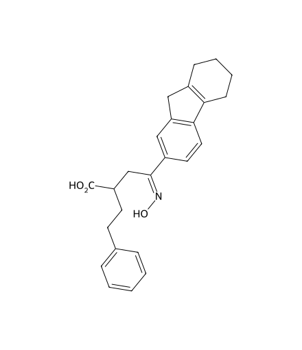 O=C(O)C(CCc1ccccc1)CC(=NO)c1ccc2c(c1)CC1=C2CCCC1